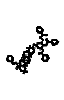 CC1(C)CC[C@]2(C(=O)OCc3ccccc3)CC[C@]3(C)C(=CCC4[C@@]5(C)CC[C@H](O[C@H]6C[C@@H](OC(=O)c7ccccc7)[C@H](OC(=O)c7ccccc7)[C@@H](COC(=O)c7ccccc7)O6)C(C)(C)C5CC[C@]43C)[C@@H]2C1